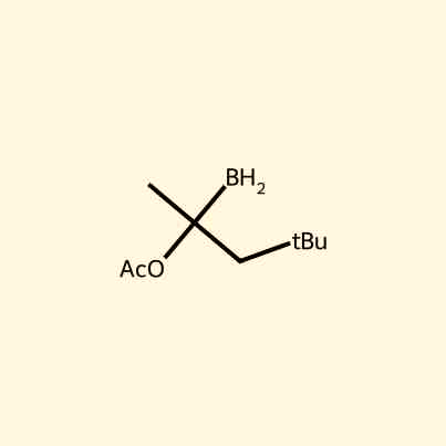 BC(C)(CC(C)(C)C)OC(C)=O